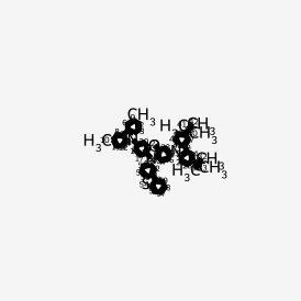 Cc1ccc2c(c1)c1cc(C)ccc1n2-c1ccc2c(c1)Oc1cc(-n3c4ccc(C(C)(C)C)cc4c4cc(C(C)(C)C)ccc43)ccc1N2c1ccc2sc3ccccc3c2c1